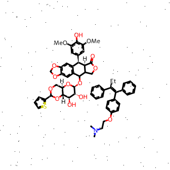 CC/C(=C(\c1ccccc1)c1ccc(OCCN(C)C)cc1)c1ccccc1.COc1cc([C@@H]2c3cc4c(cc3C(O[C@@H]3O[C@@H]5COC(c6cccs6)O[C@H]5[C@H](O)[C@H]3O)C3COC(=O)[C@@H]32)OCO4)cc(OC)c1O